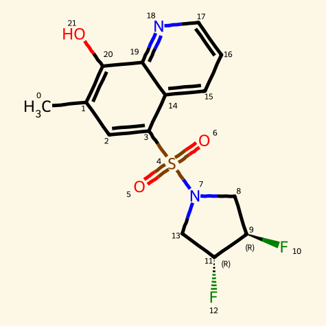 Cc1cc(S(=O)(=O)N2C[C@@H](F)[C@H](F)C2)c2cccnc2c1O